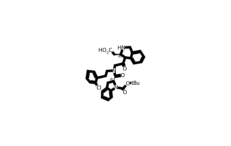 CC(C)(C)OC(=O)N1c2ccccc2C[C@@H]1C(=O)N(CCc1ccccc1Cl)CC(=O)C1c2ccccc2CN[C@@H]1CC(=O)O